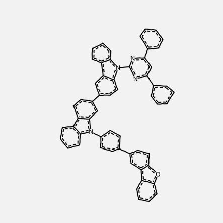 c1ccc(-c2cc(-c3ccccc3)nc(-n3c4ccccc4c4cc(-c5ccc6c7ccccc7n(-c7ccc(-c8ccc9oc%10ccccc%10c9c8)cc7)c6c5)ccc43)n2)cc1